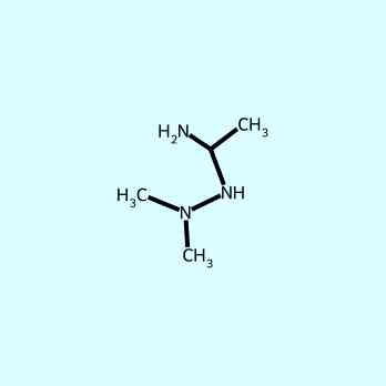 CC(N)NN(C)C